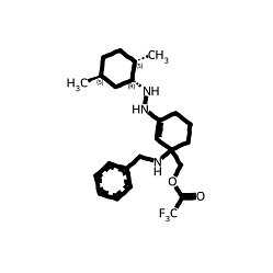 C[C@H]1CC[C@H](C)[C@H](NNC2=CC(COC(=O)C(F)(F)F)(NCc3ccccc3)CCC2)C1